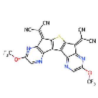 N#CC(C#N)=C1c2nc(OC(F)(F)F)cnc2-c2c1sc1c2-c2ncc(OC(F)(F)F)nc2C1=C(C#N)C#N